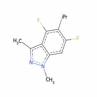 Cc1nn(C)c2cc(F)c(C(C)C)c(F)c12